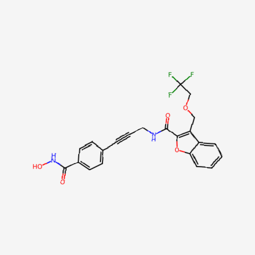 O=C(NO)c1ccc(C#CCNC(=O)c2oc3ccccc3c2COCC(F)(F)F)cc1